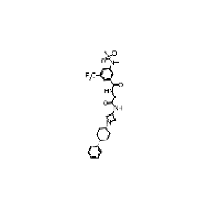 CN(c1cc(C(=O)NCC(=O)NC2CN([C@H]3CC[C@@H](c4ccccc4)CC3)C2)cc(C(F)(F)F)c1)S(C)(=O)=O